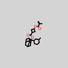 C=C(C)C(=O)OC1CC(C(=O)OC2(C3CCCC(C)C3)C3CC4CC(C3)CC2C4)C1